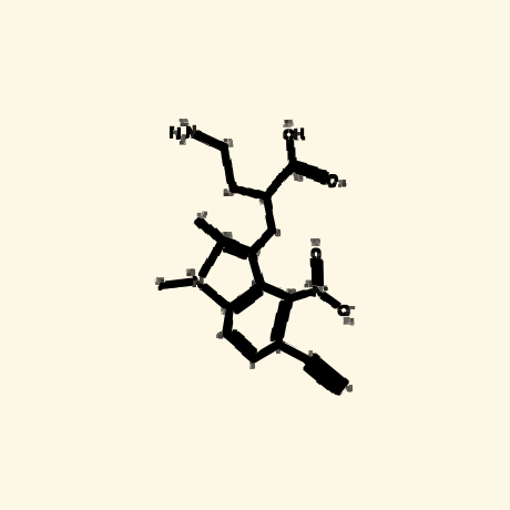 C#Cc1ccc2c(c(CC(CCN)C(=O)O)c(C)n2C)c1[N+](=O)[O-]